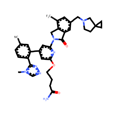 Cn1cnnc1-c1ccc(C#N)cc1-c1cc(OCCCC(N)=O)nc(N2Cc3c(cc(CN4CCC5(CC5)C4)cc3C(F)(F)F)C2=O)c1